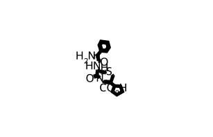 N[C@@H](C(=O)NC1C(=O)N2C(C(=O)O)=C(C3CCCC3)CS[C@@H]12)c1ccccc1